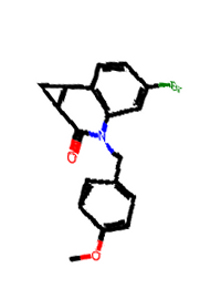 COc1ccc(CN2C(=O)C3CC3c3ccc(Br)cc32)cc1